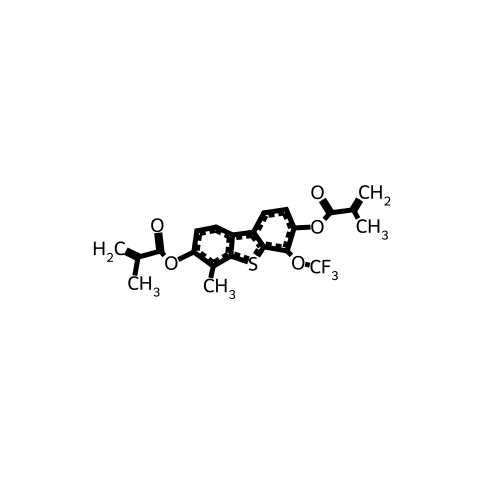 C=C(C)C(=O)Oc1ccc2c(sc3c(OC(F)(F)F)c(OC(=O)C(=C)C)ccc32)c1C